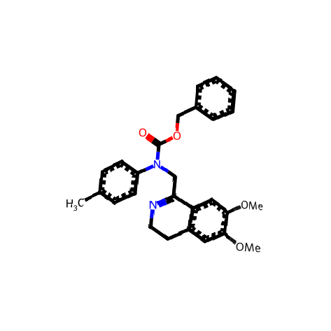 COc1cc2c(cc1OC)C(CN(C(=O)OCc1ccccc1)c1ccc(C)cc1)=NCC2